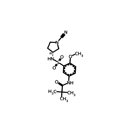 COc1ccc(NC(=O)C(C)(C)C)cc1S(=O)(=O)N[C@@H]1CCN(C#N)C1